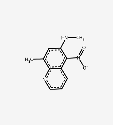 CNc1cc(C)c2ncccc2c1[N+](=O)[O-]